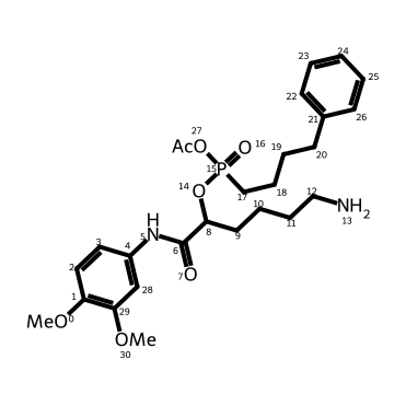 COc1ccc(NC(=O)C(CCCCN)OP(=O)(CCCCc2ccccc2)OC(C)=O)cc1OC